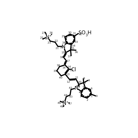 Cc1ccc2c(c1)C(C)(C)C(/C=C/C1=C(Cl)C(=C/C=C3/N(CCC[N+](C)(C)C)c4ccc(S(=O)(=O)O)cc4C3(C)C)/CCC1)=[N+]2CCC[N+](C)(C)C